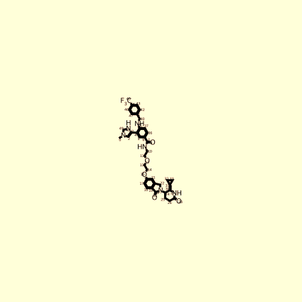 CN1C=C(c2cc(C(=O)NCCOCCOc3ccc4c(c3)CN(C3CCC(=O)NC3=C3CC3)C4=O)ccc2NCc2ccc(C(F)(F)F)cc2)NC1